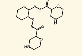 S=C(SSC1CCCCC1SSC(=S)C1CNCCO1)C1CNCCO1